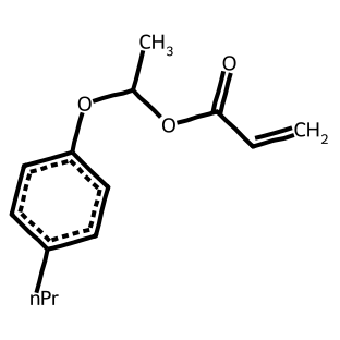 C=CC(=O)OC(C)Oc1ccc(CCC)cc1